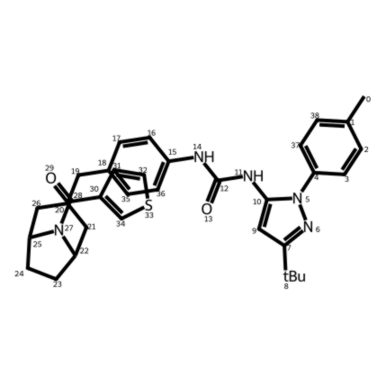 Cc1ccc(-n2nc(C(C)(C)C)cc2NC(=O)Nc2ccc(CC3CC4CCC(C3)N4C(=O)c3ccsc3)cc2)cc1